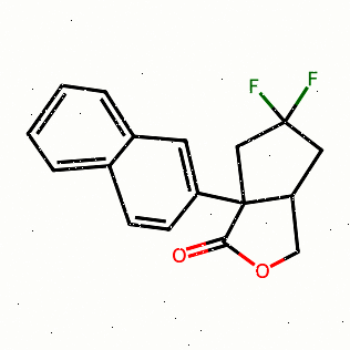 O=C1OCC2CC(F)(F)CC12c1ccc2ccccc2c1